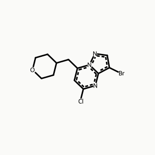 Clc1cc(CC2CCOCC2)n2ncc(Br)c2n1